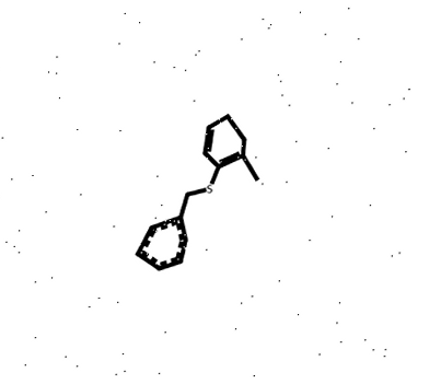 CC1=C(SCc2ccccc2)C=CCC1